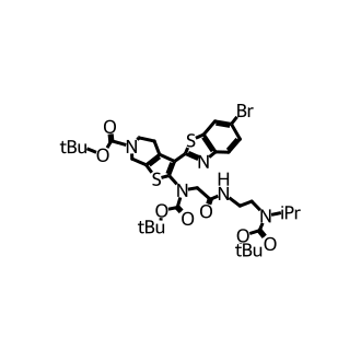 CC(C)N(CCNC(=O)CN(C(=O)OC(C)(C)C)c1sc2c(c1-c1nc3ccc(Br)cc3s1)CCN(C(=O)OC(C)(C)C)C2)C(=O)OC(C)(C)C